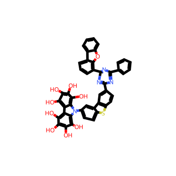 Oc1c(O)c(O)c2c(c1O)c1c(O)c(O)c(O)c(O)c1n2-c1ccc2sc3ccc(-c4nc(-c5ccccc5)nc(-c5cccc6c5oc5ccccc56)n4)cc3c2c1